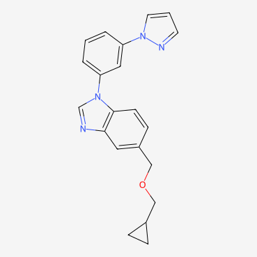 c1cc(-n2cccn2)cc(-n2cnc3cc(COCC4CC4)ccc32)c1